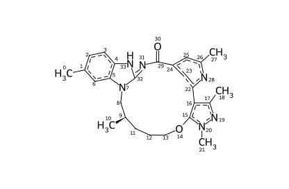 Cc1ccc2c(c1)N1C[C@H](C)CCCOc3c(c(C)nn3C)-c3cc(cc(C)n3)C(=O)/N=C/1N2